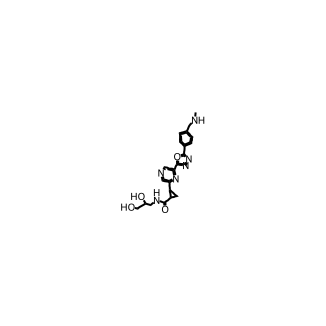 CNCc1ccc(-c2nnc(-c3cncc(C4CC4C(=O)NCC(O)CO)n3)o2)cc1